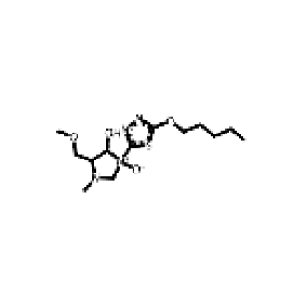 CCCCCOc1nnc([N+]2([O-])CN(C)C(COC)C2O)s1